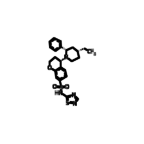 O=S(=O)(Nc1ncns1)c1ccc2c(c1)OCC[C@@H]2N1CC[C@@H](CC(F)(F)F)C[C@H]1c1ccccc1